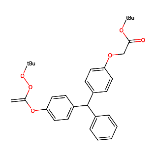 C=C(OOC(C)(C)C)Oc1ccc(C(c2ccccc2)c2ccc(OCC(=O)OC(C)(C)C)cc2)cc1